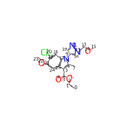 CCOC(=O)c1c(C)n(-c2cnn(COC)c2)c2cc(Cl)c(OC)cc12